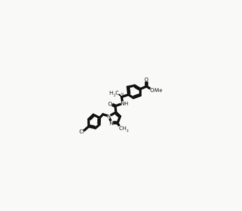 COC(=O)c1ccc([C@H](C)NC(=O)c2cc(C)nn2Cc2ccc(Cl)cc2)cc1